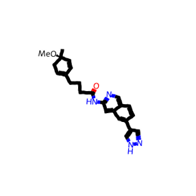 CO[C@@]1(C)C=CC(CCCC(=O)Nc2cc3cc(-c4cn[nH]c4)ccc3cn2)=CC1